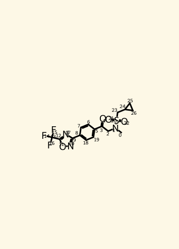 CN(CC(=O)c1ccc(-c2noc(C(F)(F)F)n2)cc1)S(=O)(=O)CC1CC1